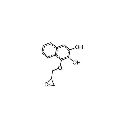 Oc1cc2ccccc2c(OCC2CO2)c1O